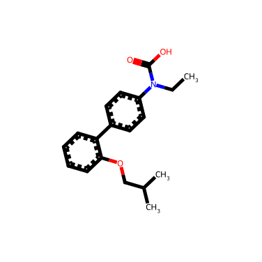 CCN(C(=O)O)c1ccc(-c2ccccc2OCC(C)C)cc1